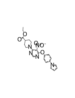 CCOC(=O)C1CCN(c2ncnc(Oc3ccc(-n4cccc4)cc3)c2[N+](=O)[O-])CC1